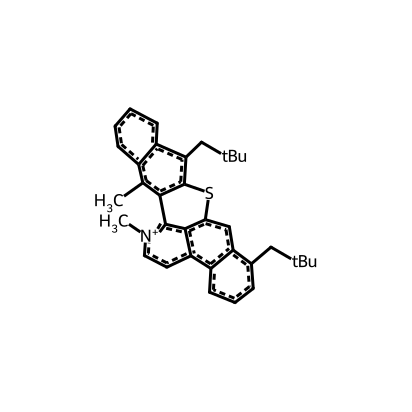 Cc1c2c(c(CC(C)(C)C)c3ccccc13)Sc1cc3c(CC(C)(C)C)cccc3c3cc[n+](C)c-2c13